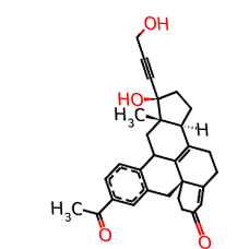 CC(=O)c1ccc2c(c1)C[C@]13CCC(=O)C=C1CCC1=C3C2C[C@@]2(C)[C@H]1CC[C@@]2(O)C#CCO